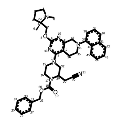 CN1CCC[C@@]1(C)COc1nc2c(c(N3CCN(C(=O)OCc4ccccc4)C(CC#N)C3)n1)CCN(c1cccc3ccccc13)C2